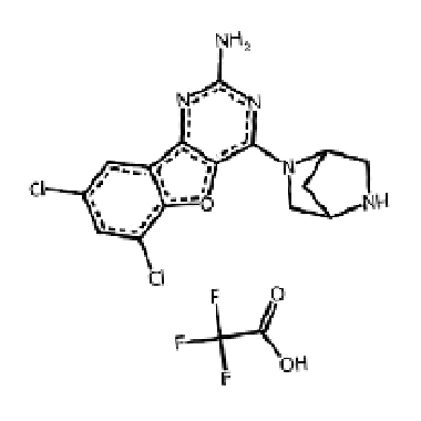 Nc1nc(N2CC3CC2CN3)c2oc3c(Cl)cc(Cl)cc3c2n1.O=C(O)C(F)(F)F